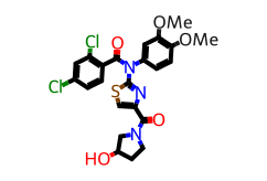 COc1ccc(N(C(=O)c2ccc(Cl)cc2Cl)c2nc(C(=O)N3CCC(O)C3)cs2)cc1OC